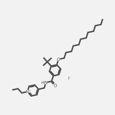 CCCCCCCCCCCCOc1ccc(C(=O)NCc2cc[n+](CCC)cc2)cc1C(C)(C)C.[I-]